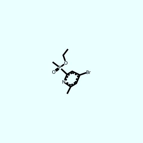 CCOP(C)(=O)c1cc(Br)cc(C)n1